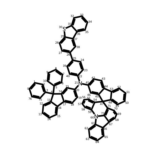 c1ccc(C2(c3ccccc3)c3ccccc3-c3ccc(N(c4ccc(-c5ccc6sc7ccccc7c6c5)cc4)c4ccc5c(c4)C4(c6ccccc6-5)c5ccccc5-n5c6ccccc6c6cccc4c65)cc32)cc1